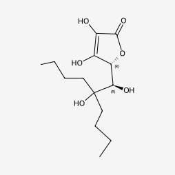 CCCCC(O)(CCCC)[C@H](O)[C@H]1OC(=O)C(O)=C1O